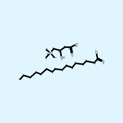 CCCCCCCCCCCCCCCC(=O)Cl.C[N+](C)(C)CC(O)CC(=O)[O-]